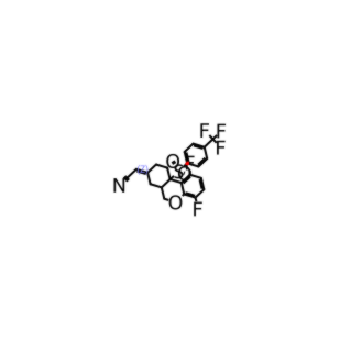 N#C/C=C1/CCC2(S(=O)(=O)c3ccc(C(F)(F)F)cc3)c3c(F)ccc(F)c3OCC2C1